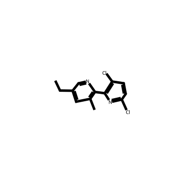 CCc1cnc(-c2nc(Cl)ccc2Cl)c(C)c1